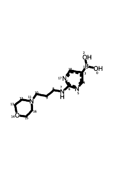 OB(O)c1cnc(NCCCN2CCOCC2)nc1